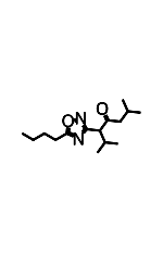 CCCCc1nc(C(C(=O)CC(C)C)C(C)C)no1